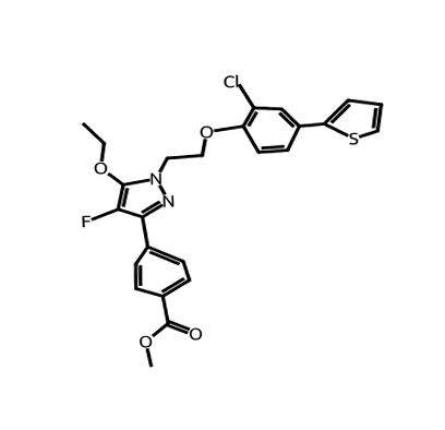 CCOc1c(F)c(-c2ccc(C(=O)OC)cc2)nn1CCOc1ccc(-c2cccs2)cc1Cl